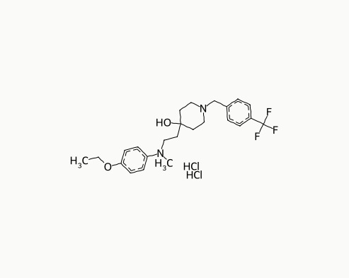 CCOc1ccc(N(C)CCC2(O)CCN(Cc3ccc(C(F)(F)F)cc3)CC2)cc1.Cl.Cl